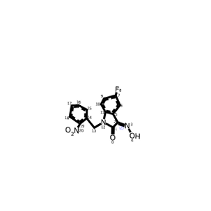 O=C1/C(=N\O)c2cc(F)ccc2N1Cc1ccccc1[N+](=O)[O-]